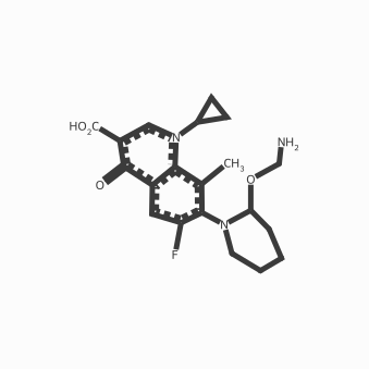 Cc1c(N2CCCCC2OCN)c(F)cc2c(=O)c(C(=O)O)cn(C3CC3)c12